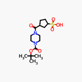 CC(C)(C)OC(=O)N1CCN(C(=O)C2CCC(S(=O)(=O)O)C2)CC1